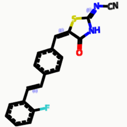 N#C/N=C1\NC(=O)/C(=C\c2ccc(/C=C/c3ccccc3F)cc2)S1